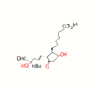 CCCCC(O)(C=O)CC=C[C@H]1C(=O)C[C@H](O)[C@@H]1CCCCCCC(=O)O